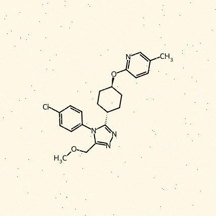 COCc1nnc([C@H]2CC[C@H](Oc3ccc(C)cn3)CC2)n1-c1ccc(Cl)cc1